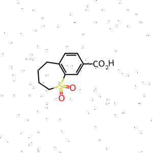 O=C(O)c1ccc2c(c1)S(=O)(=O)CCCC2